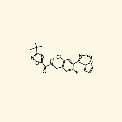 CC(C)(C)c1noc(C(=O)NCc2cc(F)c(-c3ncnn4cccc34)cc2Cl)n1